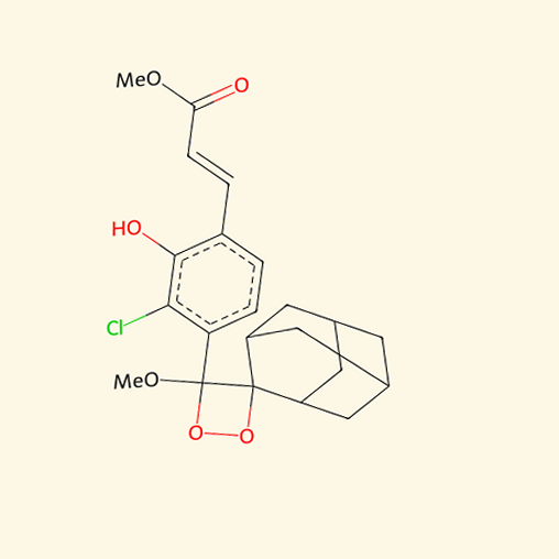 COC(=O)/C=C/c1ccc(C2(OC)OOC23C2CC4CC(C2)CC3C4)c(Cl)c1O